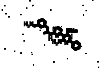 CNc1nc(-c2ccccc2)nc(N)c1-c1ccnc(NC(C)Cc2cccc(CN)c2)n1